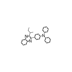 CCC(C)c1nc2ccccc2nc1-c1ccc(N(c2ccccc2)c2ccccc2)cc1